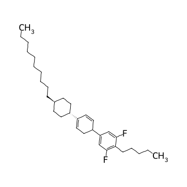 CCCCCCCCCC[C@H]1CC[C@H](C2=CCC(c3cc(F)c(CCCCC)c(F)c3)C=C2)CC1